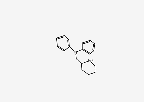 c1ccc(N(CC2CCCCN2)c2ccccc2)cc1